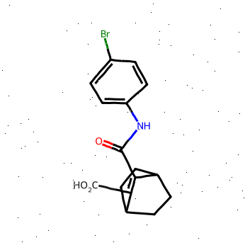 O=C(O)C1=C(C(=O)Nc2ccc(Br)cc2)C2CCC1CC2